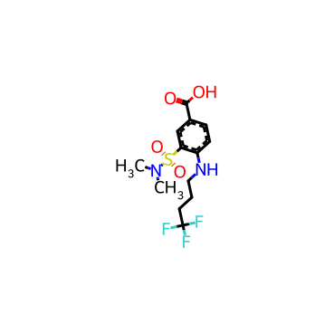 CN(C)S(=O)(=O)c1cc(C(=O)O)ccc1NCCCC(F)(F)F